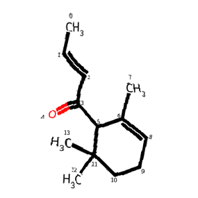 CC=CC(=O)C1C(C)=CCCC1(C)C